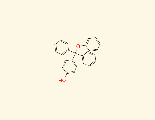 Oc1ccc(C(Oc2ccccc2)(c2ccccc2)c2ccccc2)cc1